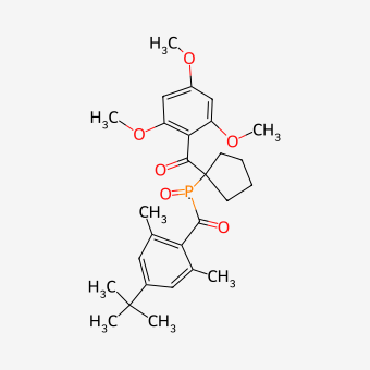 COc1cc(OC)c(C(=O)C2([P](=O)C(=O)c3c(C)cc(C(C)(C)C)cc3C)CCCC2)c(OC)c1